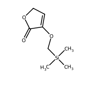 C[Si](C)(C)COC1=CCOC1=O